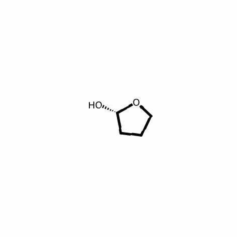 O[C@H]1CCCO1